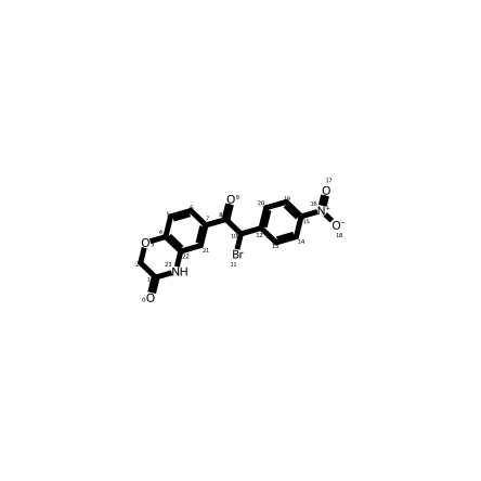 O=C1COc2ccc(C(=O)C(Br)c3ccc([N+](=O)[O-])cc3)cc2N1